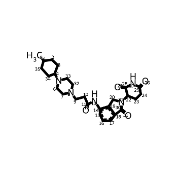 CC1CCC(N2CCN(CCC(=O)Nc3cccc4c3CN(C3CCC(=O)NC3=O)C4=O)CC2)CC1